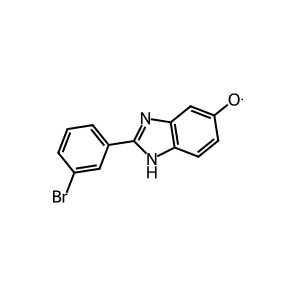 [O]c1ccc2[nH]c(-c3cccc(Br)c3)nc2c1